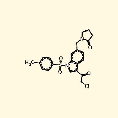 Cc1ccc(S(=O)(=O)n2cc(C(=O)CCl)c3ccc(CN4CCCC4=O)cc32)cc1